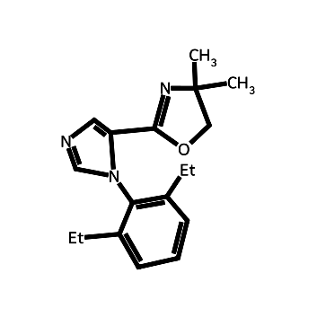 CCc1cccc(CC)c1-n1cncc1C1=NC(C)(C)CO1